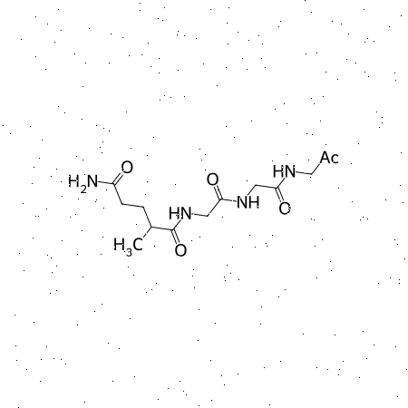 CC(=O)CNC(=O)CNC(=O)CNC(=O)C(C)CCC(N)=O